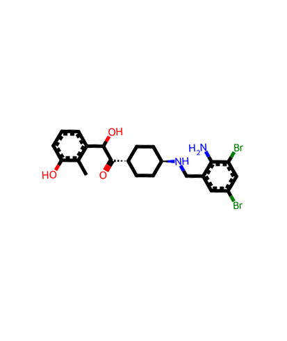 Cc1c(O)cccc1C(O)C(=O)[C@H]1CC[C@H](NCc2cc(Br)cc(Br)c2N)CC1